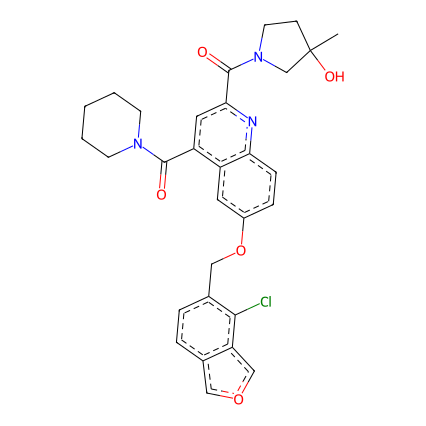 CC1(O)CCN(C(=O)c2cc(C(=O)N3CCCCC3)c3cc(OCc4ccc5cocc5c4Cl)ccc3n2)C1